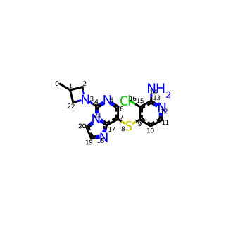 CC1CN(c2ncc(Sc3ccnc(N)c3Cl)c3nccn23)C1